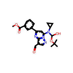 COC(=O)c1cccc(-c2cc(N(C3CC3)C(O)OC(C)(C)C)n3ncc(C=O)c3n2)c1